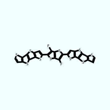 Fc1c(-c2cc3sc4c5sccc5sc4c3s2)sc2c(F)c(-c3cc4sc5c6sccc6sc5c4s3)sc12